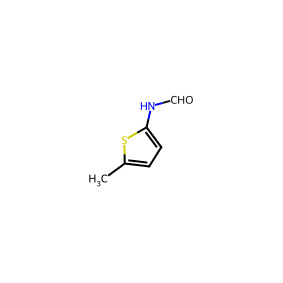 Cc1ccc(NC=O)s1